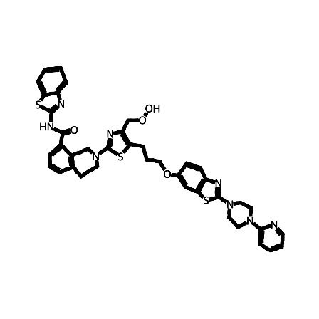 O=C(Nc1nc2ccccc2s1)c1cccc2c1CN(c1nc(COO)c(CCCOc3ccc4nc(N5CCN(c6ccccn6)CC5)sc4c3)s1)CC2